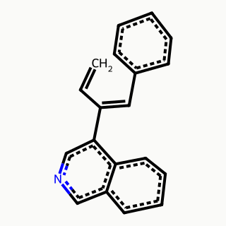 C=CC(=Cc1ccccc1)c1cncc2ccccc12